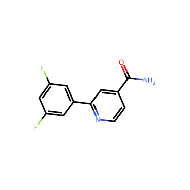 NC(=O)c1ccnc(-c2cc(F)cc(F)c2)c1